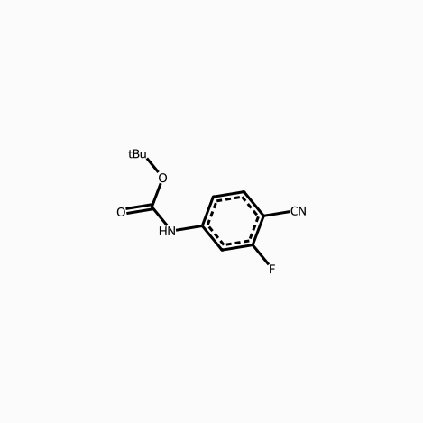 CC(C)(C)OC(=O)Nc1ccc(C#N)c(F)c1